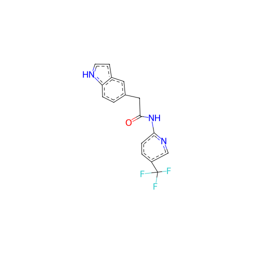 O=C(Cc1ccc2[nH]ccc2c1)Nc1ccc(C(F)(F)F)cn1